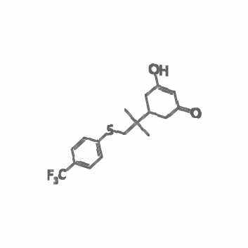 CC(C)(CSc1ccc(C(F)(F)F)cc1)C1CC(=O)C=C(O)C1